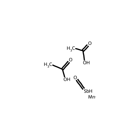 CC(=O)O.CC(=O)O.[Mn].[O]=[SbH]